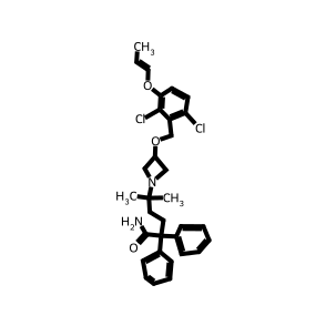 CC=COc1ccc(Cl)c(COC2CN(C(C)(C)CCC(C(N)=O)(c3ccccc3)c3ccccc3)C2)c1Cl